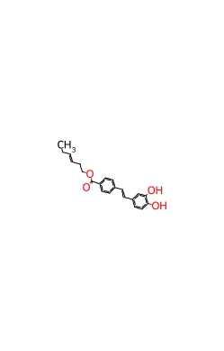 CCC=CCCOC(=O)c1ccc(C=Cc2ccc(O)c(O)c2)cc1